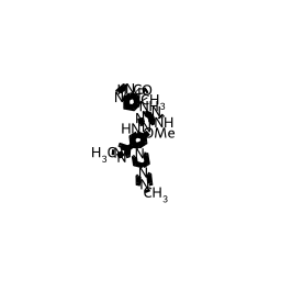 COc1cc(N2CCC(N3CCN(C)CC3)CC2)c(-c2cnn(C)c2)cc1Nc1nc(Nc2ccc3nccnc3c2P(C)(C)=O)c2nc[nH]c2n1